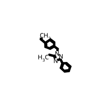 C=Cc1ccc(Cn2nc(-c3ccccc3)nc2CC)cc1